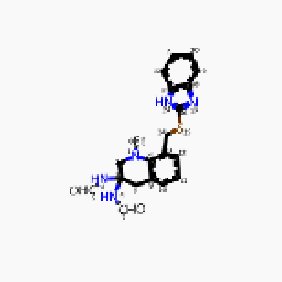 CCN1CC(NC=O)(NC=O)Cc2cccc(CSc3nc4ccccc4[nH]3)c21